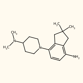 CN(C)C1CCN(c2ccc(N)c3c2CC(C)(C)C3)CC1